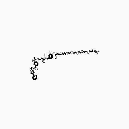 Cc1nc2cc(C(=O)Nc3nc(-c4ccccn4)cs3)ccc2n1CCCC(=O)NCc1ccc(OC(=O)CCOCCOCCOCCOCCOCCOCCN=[N+]=[N-])c(F)c1